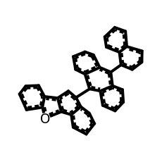 c1ccc2c(-c3c4ccccc4c(-c4cc5c6ccccc6oc5c5ccccc45)c4ccccc34)cccc2c1